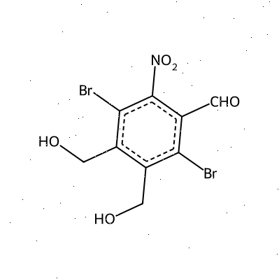 O=Cc1c(Br)c(CO)c(CO)c(Br)c1[N+](=O)[O-]